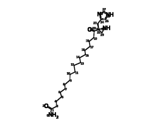 NC(=O)CCCCCCCCCCCCCCCCCC(=O)[C@@]1(Cc2c[nH]cn2)CN1